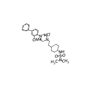 COc1cc(-c2ccccc2)ccc1N1CCN(CCC2CCC(NS(=O)(=O)N(C)C)CC2)CC1.Cl